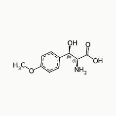 COc1ccc([C@@H](O)[C@H](N)C(=O)O)cc1